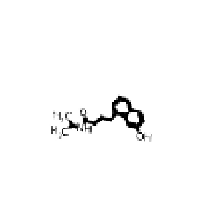 CC(C)NC(=O)CCCc1cccc2ccc(O)cc12